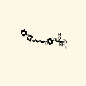 CC(C)C(N)[C@H](O)COc1ccc(OCCCCCCN2CCN(c3ccccc3)CC2)cc1